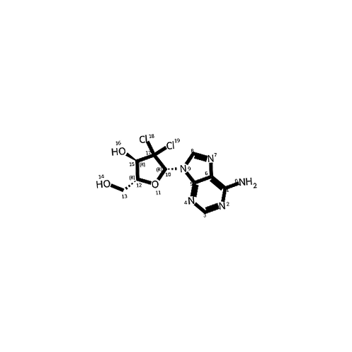 Nc1ncnc2c1ncn2[C@@H]1O[C@H](CO)[C@@H](O)C1(Cl)Cl